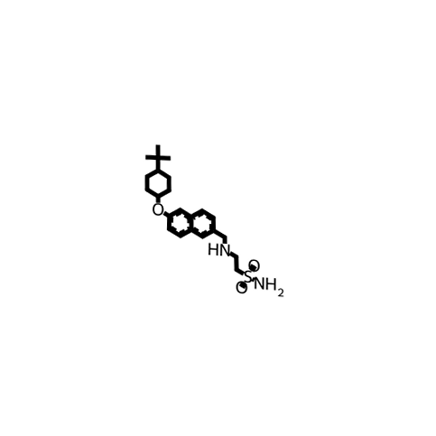 CC(C)(C)C1CCC(Oc2ccc3cc(CNCCS(N)(=O)=O)ccc3c2)CC1